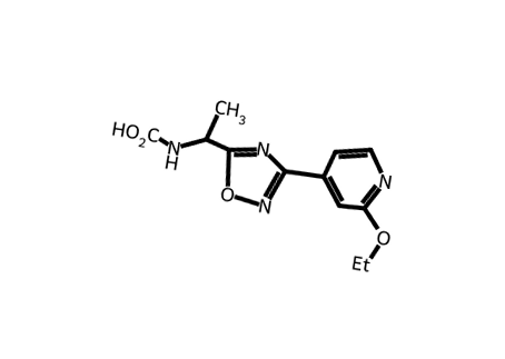 CCOc1cc(-c2noc(C(C)NC(=O)O)n2)ccn1